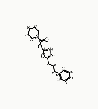 O=C(Oc1nnc(CCCc2ccccc2)o1)N1CCCCC1